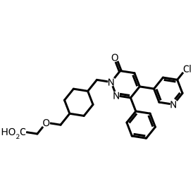 O=C(O)COCC1CCC(Cn2nc(-c3ccccc3)c(-c3cncc(Cl)c3)cc2=O)CC1